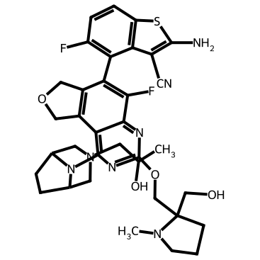 CC(O)CN1CC2CCC(C1)N2c1nc(OCC2(CO)CCCN2C)nc2c(F)c(-c3c(F)ccc4sc(N)c(C#N)c34)c3c(c12)COC3